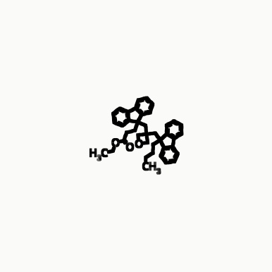 CCCCC1(CC2(CC3(CCC(=O)OCC)c4ccccc4-c4ccccc43)COC2)c2ccccc2-c2ccccc21